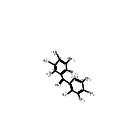 Bc1c(B)c(B)c(C(=N)c2c(B)c(B)c(B)c(B)c2B)c(B)c1B